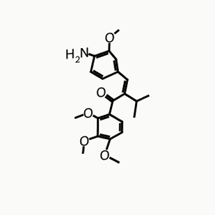 COc1cc(C=C(C(=O)c2ccc(OC)c(OC)c2OC)C(C)C)ccc1N